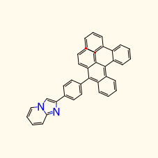 c1ccc(-c2ccccc2-c2c3ccccc3c(-c3ccc(-c4cn5ccccc5n4)cc3)c3ccccc23)cc1